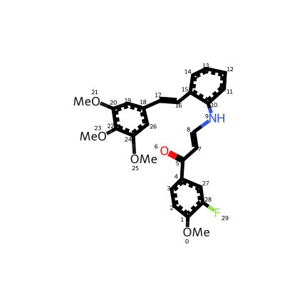 COc1ccc(C(=O)C=CNc2ccccc2C=Cc2cc(OC)c(OC)c(OC)c2)cc1F